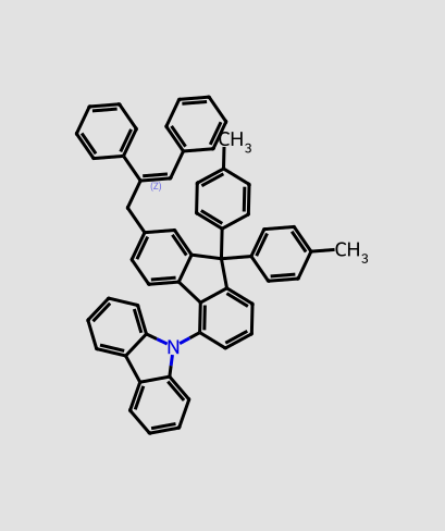 Cc1ccc(C2(c3ccc(C)cc3)c3cc(C/C(=C/c4ccccc4)c4ccccc4)ccc3-c3c(-n4c5ccccc5c5ccccc54)cccc32)cc1